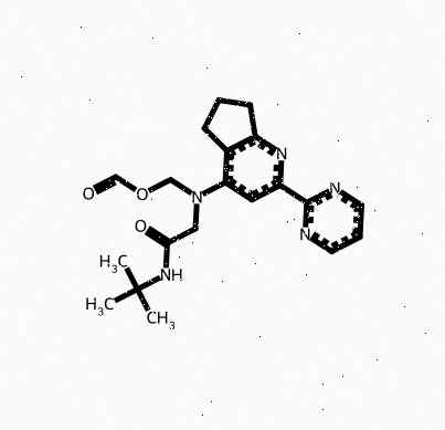 CC(C)(C)NC(=O)CN(COC=O)c1cc(-c2ncccn2)nc2c1CCC2